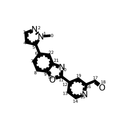 Cn1nccc1-c1ccc2oc(-c3ccnc(C=O)c3)nc2c1